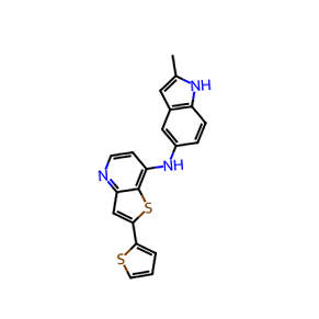 Cc1cc2cc(Nc3ccnc4cc(-c5cccs5)sc34)ccc2[nH]1